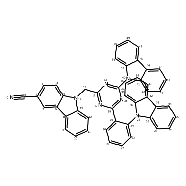 N#Cc1ccc2c(c1)c1ccccc1n2Cc1nc(-c2ccccc2-n2c3ccccc3c3ccccc32)nc(-n2c3ccccc3c3ccccc32)n1